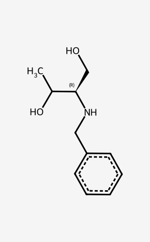 CC(O)[C@@H](CO)NCc1ccccc1